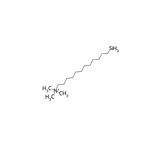 C[N+](C)(C)CCCCCCCCCCCC[SiH3]